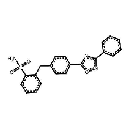 NS(=O)(=O)c1ccccc1Cc1ccc(-c2nc(-c3ccccc3)no2)cc1